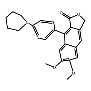 COc1cc2cc3c(c(-c4ccc(N5CCCCC5)nc4)c2cc1OC)C(=O)OC3